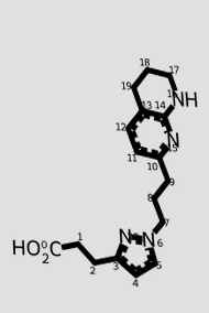 O=C(O)CCc1ccn(CCCc2ccc3c(n2)NCCC3)n1